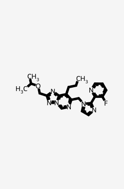 CCCc1c(Cn2ccnc2-c2ncccc2F)ncn2nc(COC(C)C)nc12